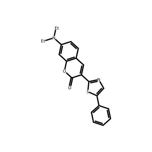 CCN(CC)c1ccc2cc(-c3ncc(-c4ccccc4)s3)c(=O)oc2c1